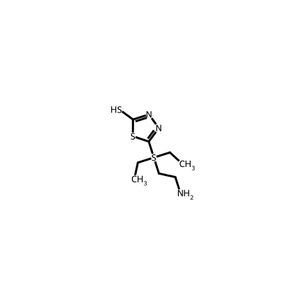 CCS(CC)(CCN)c1nnc(S)s1